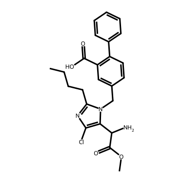 CCCCc1nc(Cl)c(C(N)C(=O)OC)n1Cc1ccc(-c2ccccc2)c(C(=O)O)c1